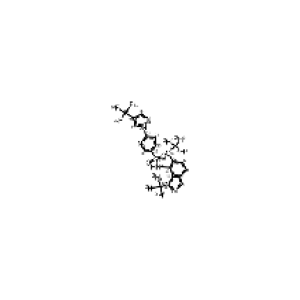 [2H]C([2H])([2H])Oc1ccc2cnn(C([2H])([2H])[2H])c2c1NS(=O)(=O)c1ccc(-n2cc(C(F)(F)F)cn2)nc1